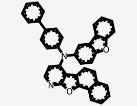 c1ccc(-c2ccc(N(c3ccc4oc5ccccc5c4c3)c3ccnc4oc5c6ccccc6ccc5c34)cc2)cc1